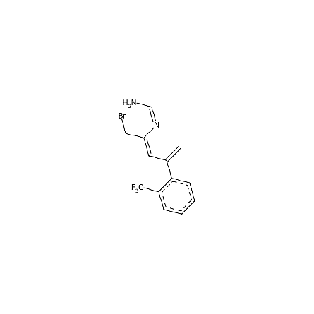 C=C(/C=C(CBr)\N=C/N)c1ccccc1C(F)(F)F